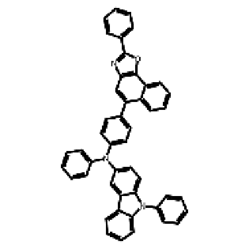 c1ccc(-c2nc3cc(-c4ccc(N(c5ccccc5)c5ccc6c(c5)c5ccccc5n6-c5ccccc5)cc4)c4ccccc4c3o2)cc1